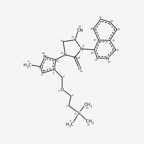 Cc1cn(COCC[Si](C)(C)C)c(N2CC(C#N)N(c3cncc4ccccc34)C2=O)n1